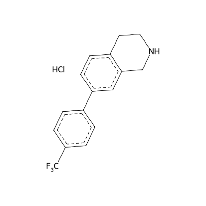 Cl.FC(F)(F)c1ccc(-c2ccc3c(c2)CNCC3)cc1